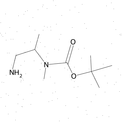 CC(CN)N(C)C(=O)OC(C)(C)C